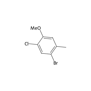 COc1cc(C)c(Br)cc1Cl